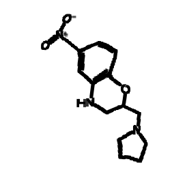 O=[N+]([O-])c1ccc2c(c1)NCC(CN1CCCC1)O2